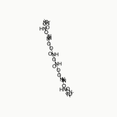 Cc1cc(C)n2ccc(C(=O)Nc3ccc(-c4cn(CCOCCOCCC(=O)NCCOCCNC(=O)CCOCCOCCn5cc(-c6ccc(NC(=O)c7ccn8c(C)cc(C)nc78)cc6)nn5)nn4)cc3)c2n1